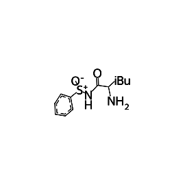 CCC(C)C(N)C(=O)N[S+]([O-])c1ccccc1